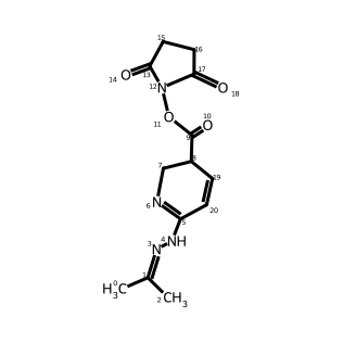 CC(C)=NNC1=NCC(C(=O)ON2C(=O)CCC2=O)C=C1